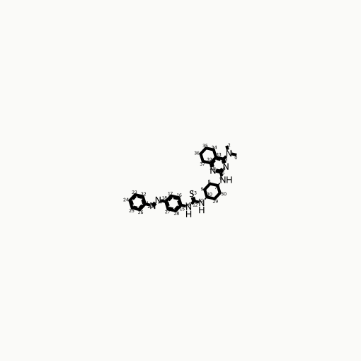 CN(C)c1nc(N[C@H]2CC[C@@H](NC(=S)Nc3ccc(/N=N/c4ccccc4)cc3)CC2)nc2c1CCCC2